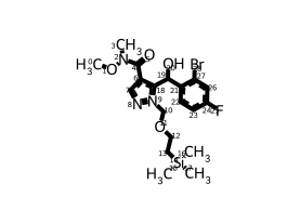 CON(C)C(=O)c1cnn(COCC[Si](C)(C)C)c1C(O)c1ccc(F)cc1Br